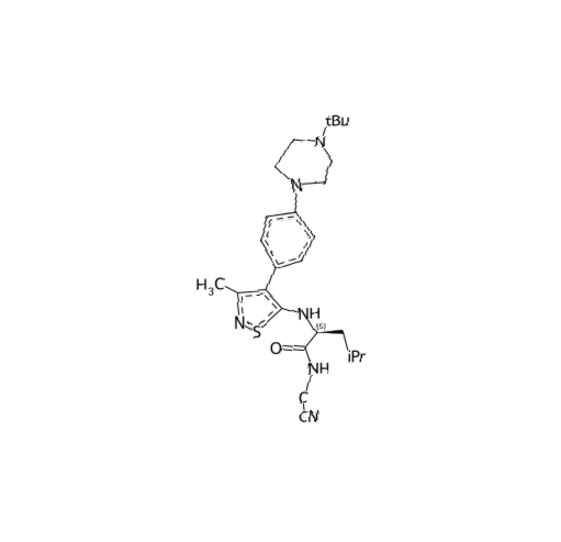 Cc1nsc(N[C@@H](CC(C)C)C(=O)NCC#N)c1-c1ccc(N2CCN(C(C)(C)C)CC2)cc1